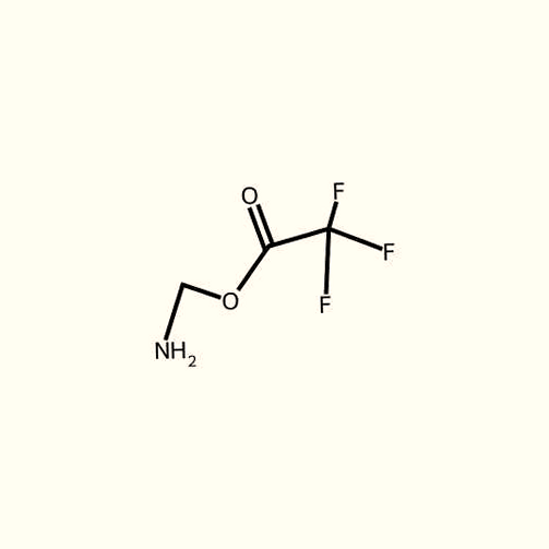 NCOC(=O)C(F)(F)F